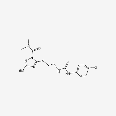 CN(C)C(=O)n1nc(C(C)(C)C)nc1SCCNC(=S)Nc1ccc(Cl)cc1